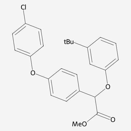 COC(=O)C(Oc1cccc(C(C)(C)C)c1)c1ccc(Oc2ccc(Cl)cc2)cc1